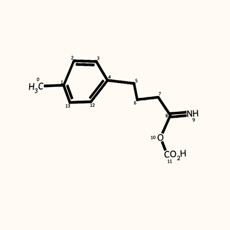 Cc1ccc(CCCC(=N)OC(=O)O)cc1